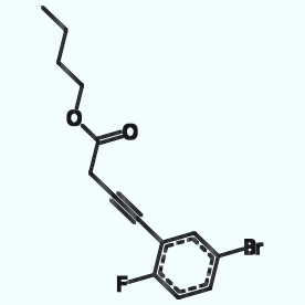 CCCCOC(=O)CC#Cc1cc(Br)ccc1F